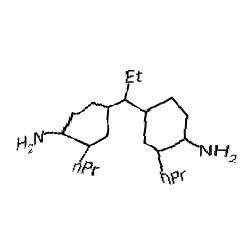 CCCC1CC(C(CC)C2CCC(N)C(CCC)C2)CCC1N